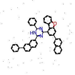 c1ccc(-c2ccc3ccc(C4=NC(c5cc(-c6ccc7ccccc7c6)cc6oc7ccccc7c56)=NC(c5ccccc5)N4)cc3c2)cc1